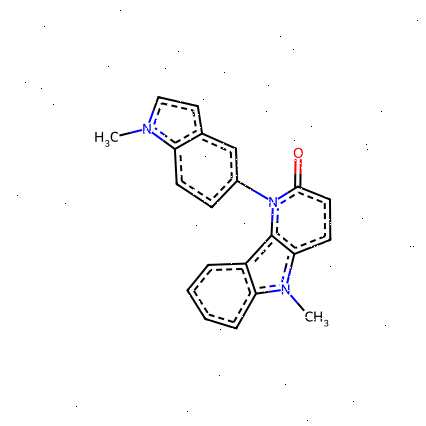 Cn1ccc2cc(-n3c(=O)ccc4c3c3ccccc3n4C)ccc21